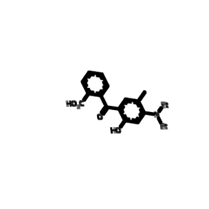 CCN(CC)c1cc(O)c(C(=O)c2ccccc2C(=O)O)cc1C